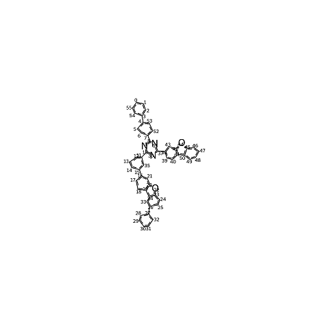 c1ccc(-c2ccc(-c3nc(-c4cccc(-c5ccc6c(c5)oc5ccc(-c7ccccc7)cc56)c4)nc(-c4ccc5c(c4)oc4ccccc45)n3)cc2)cc1